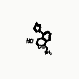 Cl.NC[C@H]1OCCc2c1cccc2-n1cccn1